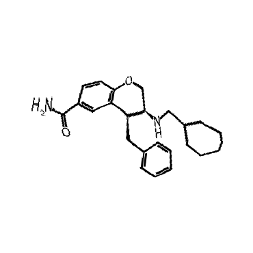 NC(=O)c1ccc2c(c1)[C@H](Cc1ccccc1)[C@H](NCC1CCCCC1)CO2